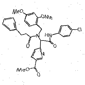 COC(=O)c1ccc(C(C(=O)Nc2ccc(Cl)cc2)N(Cc2ccc(OC)cc2OC)C(=O)CCc2ccccc2)nc1